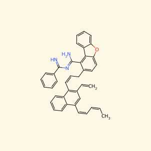 C=Cc1cc(/C=C\C=C/C)c2ccccc2c1/C=C\Cc1ccc2oc3ccccc3c2c1/C(N)=N/C(=N)c1ccccc1